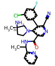 CC(NC(=O)c1cnc(C#N)c(-c2cc(F)cc(Cl)c2)c1N1CC[C@](C)(N)C1)c1ccccn1